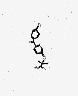 CC(C)(Oc1ccc(C(=O)c2ccc(Cl)cc2)cc1)C([NH])=O